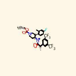 Cc1cc(F)ccc1[C@@H]1CN(C(=O)OC(C)(C)C)CC[C@@H]1N(C)C(=O)[C@@H](C)c1cc(C(F)(F)F)cc(C(F)(F)F)c1